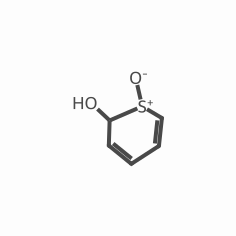 [O-][S+]1C=CC=CC1O